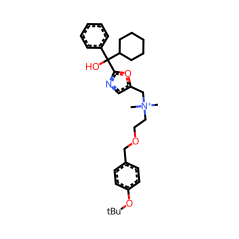 CC(C)(C)Oc1ccc(COCC[N+](C)(C)Cc2cnc(C(O)(c3ccccc3)C3CCCCC3)o2)cc1